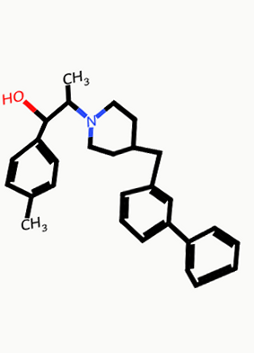 Cc1ccc(C(O)C(C)N2CCC(Cc3cccc(-c4ccccc4)c3)CC2)cc1